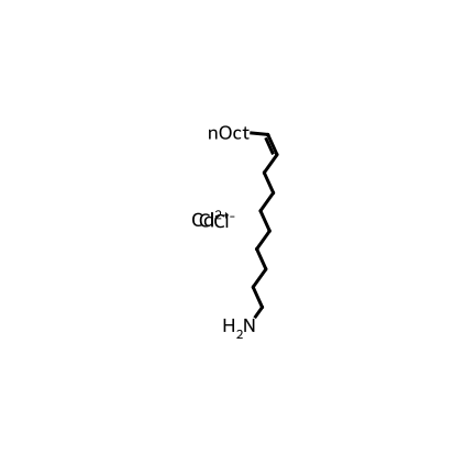 CCCCCCCC/C=C\CCCCCCCCN.[Cd+2].[Cl-].[Cl-]